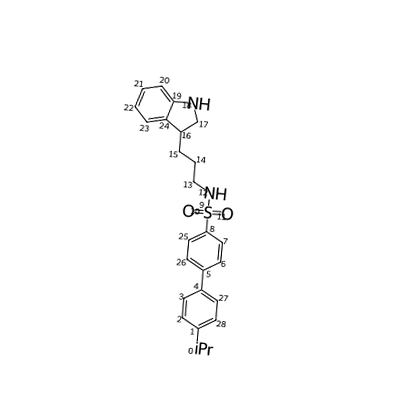 CC(C)c1ccc(-c2ccc(S(=O)(=O)NCCCC3CNc4ccccc43)cc2)cc1